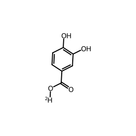 [2H]OC(=O)c1ccc(O)c(O)c1